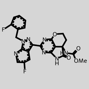 COC(=O)NC12CCOc3nc(-c4nn(Cc5ccccc5F)c5ncc(F)cc45)nc(c31)NC2=O